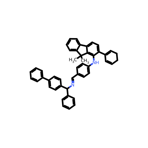 CC1(C)c2ccccc2-c2ccc(C3=CCCC=C3)c(Nc3ccc(/C=N/C(c4ccccc4)c4ccc(-c5ccccc5)cc4)cc3)c21